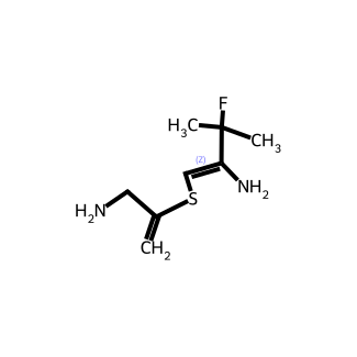 C=C(CN)S/C=C(\N)C(C)(C)F